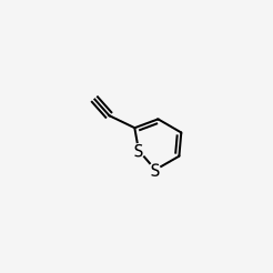 C#CC1=CC=CSS1